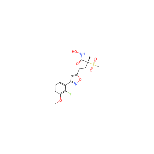 COc1cccc(-c2cc(CC[C@](C)(C(=O)NO)S(C)(=O)=O)on2)c1F